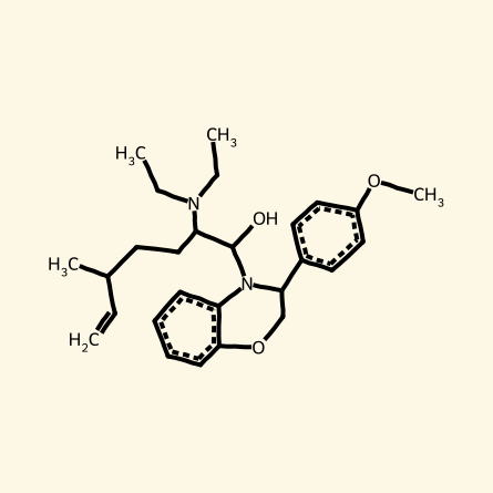 C=CC(C)CCC(C(O)N1c2ccccc2OCC1c1ccc(OC)cc1)N(CC)CC